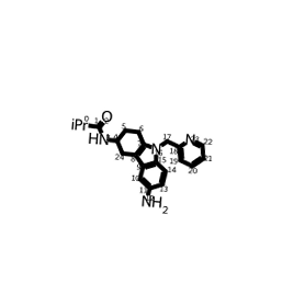 CC(C)C(=O)NC1CCc2c(c3cc(N)ccc3n2Cc2ccccn2)C1